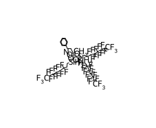 CC1(C(O[SiH2]CCC(F)(F)C(F)(F)C(F)(F)C(F)(F)C(F)(F)C(F)(F)F)(O[SiH2]CCC(F)(F)C(F)(F)C(F)(F)C(F)(F)C(F)(F)C(F)(F)F)O[SiH2]CCC(F)(F)C(F)(F)C(F)(F)C(F)(F)C(F)(F)C(F)(F)F)CC(c2ccccc2)=NO1